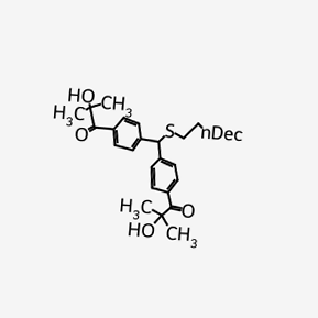 CCCCCCCCCCCCSC(c1ccc(C(=O)C(C)(C)O)cc1)c1ccc(C(=O)C(C)(C)O)cc1